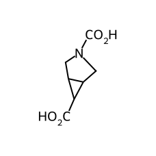 O=C(O)C1C2CN(C(=O)O)CC21